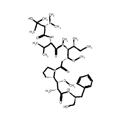 CC[C@H](C)[C@@H]([C@@H](CC(=O)N1CCC[C@H]1[C@H](OC)[C@@H](C)C(=O)N[C@H](CO)Cc1ccccc1)OC)N(C)C(=O)[C@@H](NC(=O)[C@@H](N(C)C)C(C)(C)O)C(C)C